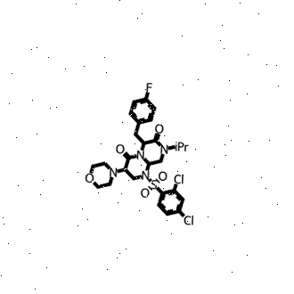 CC(C)N1CC2N(C(=O)C(N3CCOCC3)CN2S(=O)(=O)c2ccc(Cl)cc2Cl)C(Cc2ccc(F)cc2)C1=O